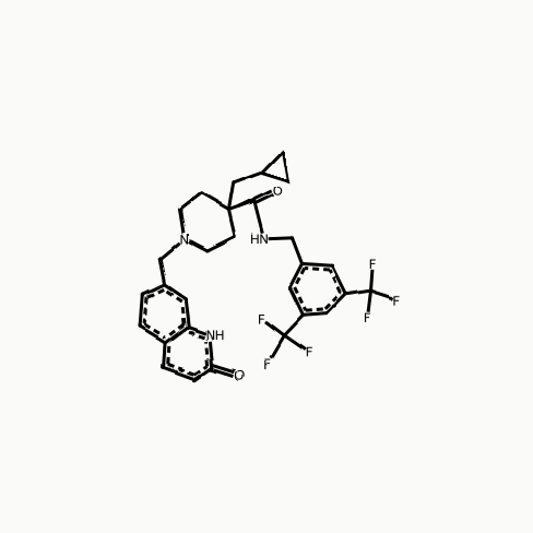 O=C(NCc1cc(C(F)(F)F)cc(C(F)(F)F)c1)C1(CC2CC2)CCN(Cc2ccc3ccc(=O)[nH]c3c2)CC1